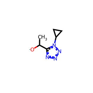 CC([O])c1nnnn1C1CC1